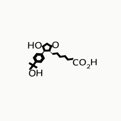 CC(C)(CO)c1ccc([C@H]2[C@H](O)CC(=O)[C@@H]2CCCCCCC(=O)O)cc1